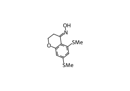 CSc1cc2c(c(SC)c1)C(=NO)CCO2